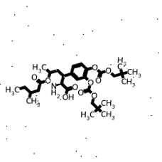 CCC(C)CC(=O)OC(C)CC(c1ccc(OC(=O)OCC(C)(C)C)c(OC(=O)OCC(C)(C)C)c1)[C@H](N)C(=O)O